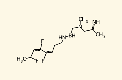 CC(=N)CN(C)CBNCC/C=C(F)\C(F)=C/C(C)F